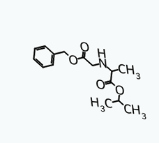 CC(C)OC(=O)C(C)NCC(=O)OCc1ccccc1